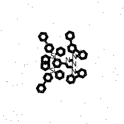 c1ccc(-c2ccc([Si](c3ccccc3)(c3ccccc3)c3cc(-c4cc(-n5c6ccccc6c6ccccc65)nc(-n5c6ccccc6c6cc(-c7ccccc7)ccc65)n4)cc([Si](c4ccccc4)(c4ccccc4)c4ccc(-c5ccccc5)cc4)c3)cc2)cc1